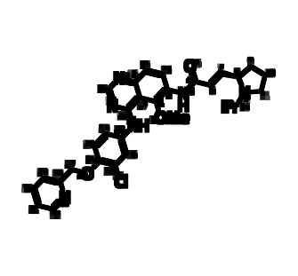 COc1c(NC(=O)/C=C/[C@H]2CCCN2C(C)C)ccc2ncnc(Nc3ccc(OCc4ccccn4)c(Cl)c3)c12